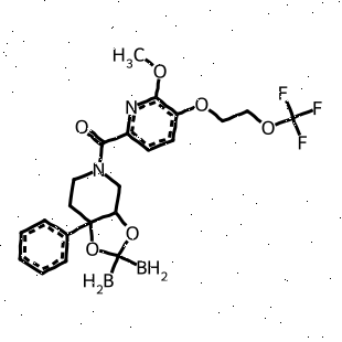 BC1(B)OC2CN(C(=O)c3ccc(OCCOC(F)(F)F)c(OC)n3)CCC2(c2ccccc2)O1